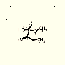 CCC(=O)P(=O)(O)OC